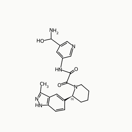 Cc1n[nH]c2ccc([C@@H]3CCCCN3C(=O)C(=O)Nc3cncc(C(N)O)c3)cc12